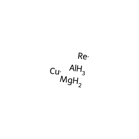 [AlH3].[Cu].[MgH2].[Re]